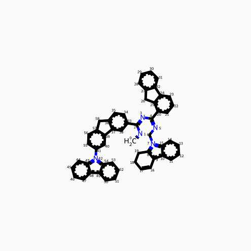 C=N/C(=N\C(=N/Cn1c2c(c3ccccc31)C=CCC2)c1cccc2c1Cc1ccccc1-2)c1ccc2c(c1)-c1cc(-n3c4ccccc4c4ccccc43)ccc1C2